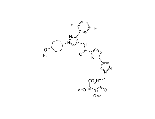 CCOC1CCC(n2cc(NC(=O)c3csc(-c4cnn(COC(=O)[C@H](OC(C)=O)[C@H](OC(C)=O)C(=O)O)c4)n3)c(-c3nc(F)ccc3F)n2)CC1